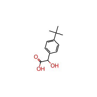 CC(C)(C)c1ccc(C(O)C(=O)O)cc1